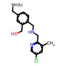 CC(=O)NCc1ccc(CNCc2ncc(Cl)cc2C)c(CO)c1